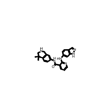 CC1(C)CNCc2cc(NC(=O)c3cccnc3Nc3ccc4cn[nH]c4c3)ccc21